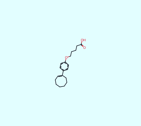 O=C(O)CCCCOc1ccc(C2=CCCCCCC2)cc1